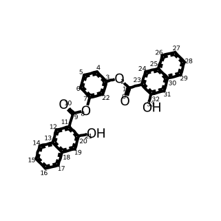 O=C(Oc1cccc(OC(=O)c2cc3ccccc3cc2O)c1)c1cc2ccccc2cc1O